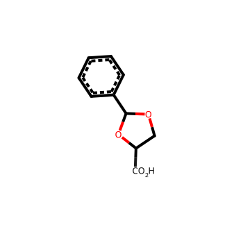 O=C(O)C1COC(c2ccccc2)O1